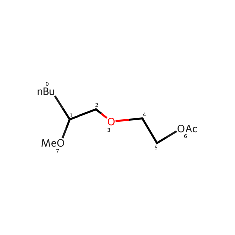 CCCCC(COCCOC(C)=O)OC